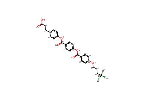 O=C(O)/C=C/c1ccc(OC(=O)c2ccc(OC(=O)c3ccc(OCCCC(F)(F)F)cc3)cc2)cc1